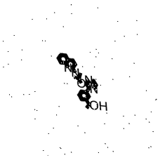 CC(O)c1cccc(-c2nccnc2OC2CN(c3ccc4ccccc4n3)C2)c1